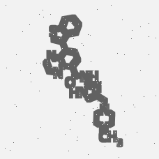 CN1CCN(Cc2c[nH]c(NC(=O)c3ccc(-c4csc5ccccc45)c4nccnc34)n2)CC1